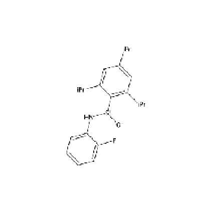 CC(C)c1cc(C(C)C)c([S+]([O-])Nc2ccccc2F)c(C(C)C)c1